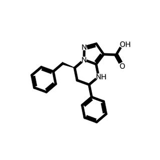 O=C(O)c1cnn2c1NC(c1ccccc1)C[C@H]2Cc1ccccc1